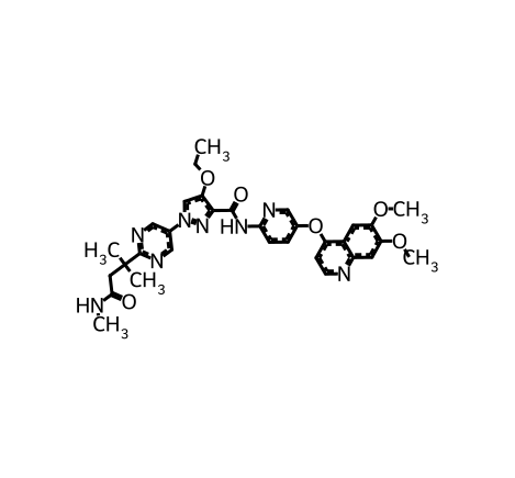 CCOc1cn(-c2cnc(C(C)(C)CC(=O)NC)nc2)nc1C(=O)Nc1ccc(Oc2ccnc3cc(OC)c(OC)cc23)cn1